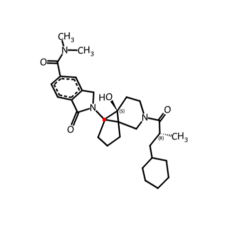 C[C@H](CC1CCCCC1)C(=O)N1CC[C@@](O)(CN2Cc3cc(C(=O)N(C)C)ccc3C2=O)C2(CCCC2)C1